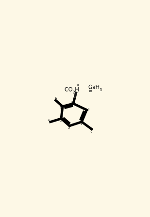 Cc1cc(C)c(C)c(C(=O)O)c1.[GaH3]